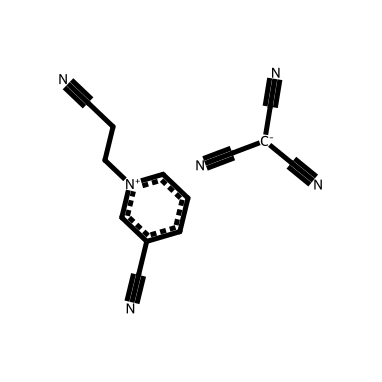 N#CCC[n+]1cccc(C#N)c1.N#C[C-](C#N)C#N